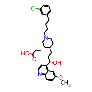 COc1ccc2nccc([C@H](O)CC[C@@H]3CCN(CCCCc4cccc(Cl)c4)C[C@H]3CCC(=O)O)c2c1